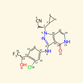 N#CC[C@@H](C1CC1)n1nc(Nc2ccc([C@@H](O)C(F)(F)F)c(Cl)c2)c2c(=O)[nH]ccc21